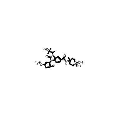 CC(n1c(=O)n(-c2cc(OC(F)(F)F)ccc2F)c2ccc(C(=O)NC3(C)CCS(O)(O)CC3)cc21)C(C)(C)O